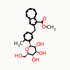 COC(=O)c1c(Cc2ccc(C)c([C@@H]3O[C@H](CO)[C@@H](O)[C@H](O)[C@@H]3O)c2)cc2cccccc1-2